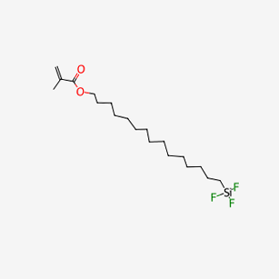 C=C(C)C(=O)OCCCCCCCCCCCCCCC[Si](F)(F)F